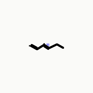 [CH]=C/[C]=C/CC